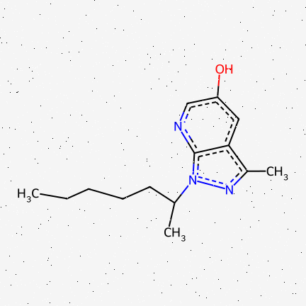 CCCCCC(C)n1nc(C)c2cc(O)cnc21